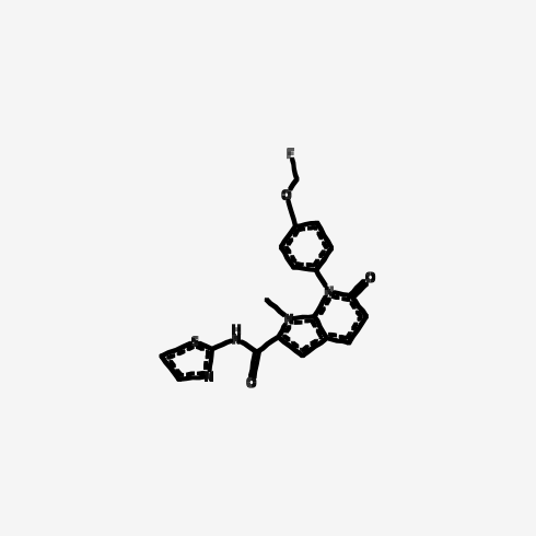 Cn1c(C(=O)Nc2nccs2)cc2ccc(=O)n(-c3ccc(OCF)cc3)c21